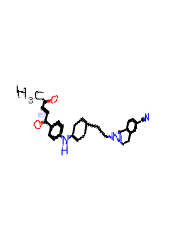 CC(=O)/C=C/C(=O)c1ccc(NC2CCC(CCN3CCc4cc(C#N)ccc4C3)CC2)cc1